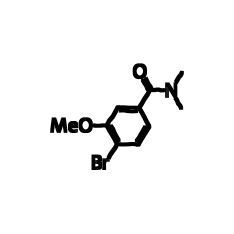 COc1cc(C(=O)N(C)C)ccc1Br